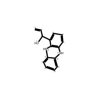 C=CC(O)c1cccc2c1Nc1ccccc1N2